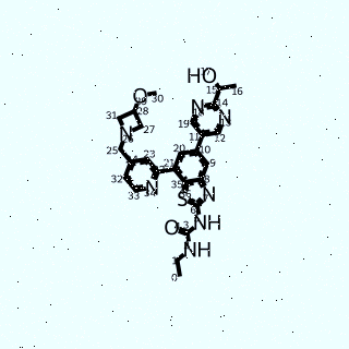 CCNC(=O)Nc1nc2cc(-c3cnc(C(C)O)nc3)cc(-c3cc(CN4CC(OC)C4)ccn3)c2s1